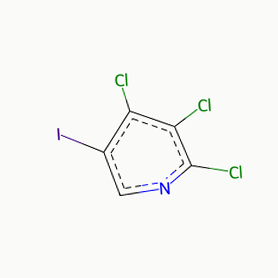 Clc1ncc(I)c(Cl)c1Cl